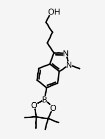 Cn1nc(CCCO)c2ccc(B3OC(C)(C)C(C)(C)O3)cc21